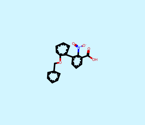 O=C(O)c1cccc(-c2ccccc2OCc2ccccc2)c1[N+](=O)[O-]